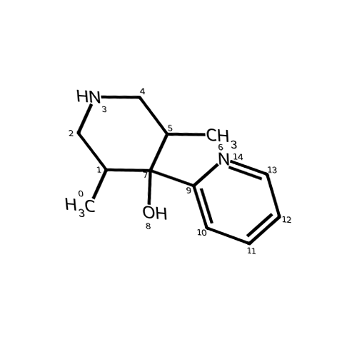 CC1CNCC(C)C1(O)c1ccccn1